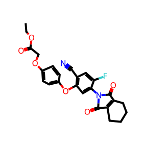 CCOC(=O)COc1ccc(Oc2cc(N3C(=O)C4=C(CCCC4)C3=O)c(F)cc2C#N)cc1